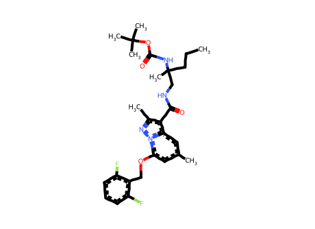 CCCC(C)(CNC(=O)c1c(C)nn2c(OCc3c(F)cccc3F)cc(C)cc12)NC(=O)OC(C)(C)C